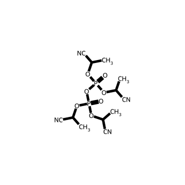 CC(C#N)OP(=O)(OC(C)C#N)OP(=O)(OC(C)C#N)OC(C)C#N